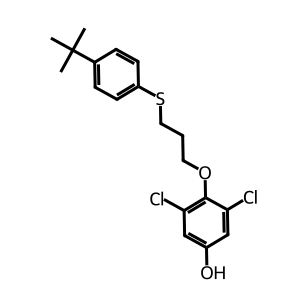 CC(C)(C)c1ccc(SCCCOc2c(Cl)cc(O)cc2Cl)cc1